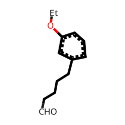 CCOc1cccc(CCCCC=O)c1